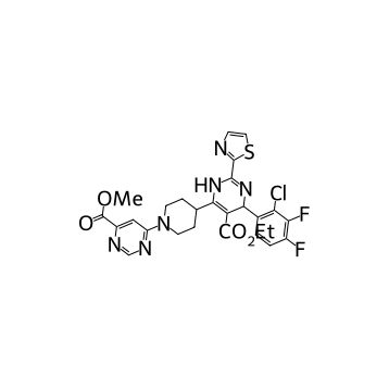 CCOC(=O)C1=C(C2CCN(c3cc(C(=O)OC)ncn3)CC2)NC(c2nccs2)=NC1c1ccc(F)c(F)c1Cl